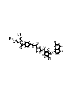 CCOCCN(CCOCC)C(=O)c1ccc(C=CC(=O)NCC(=O)N(C)c2ccc(Cl)c(COc3cccc4ccc(C)nc34)c2Cl)cc1